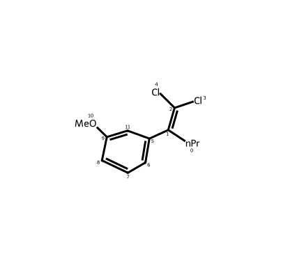 CCCC(=C(Cl)Cl)c1cccc(OC)c1